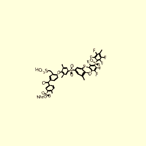 COS(=O)(=O)c1cc(C(=O)c2ccc(Oc3c(C)cc(S(=O)(=O)c4cc(C)c(Oc5c(F)c(F)c(S(=O)(=O)c6c(F)c(F)c(C)c(F)c6F)c(F)c5F)c(C)c4)cc3C)c(CS(=O)(=O)O)c2)ccc1C